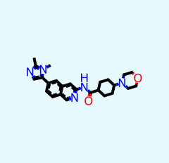 Cc1ncc(-c2ccc3cnc(NC(=O)C4CCC(N5CCOCC5)CC4)cc3c2)n1C